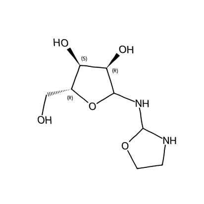 OC[C@H]1OC(NC2NCCO2)[C@H](O)[C@@H]1O